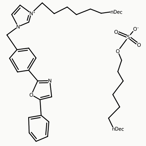 CCCCCCCCCCCCCCCCOS(=O)(=O)[O-].CCCCCCCCCCCCCCCC[n+]1ccn(Cc2ccc(-c3ncc(-c4ccccc4)o3)cc2)c1